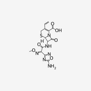 C=CC1=C(C(=O)O)N2C(=O)C(NC(=O)/C(=N\OC)c3noc(N)n3)[C@H]2SC1